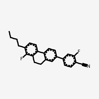 CCCCc1ccc2c(c1F)CCc1cc(-c3ccc(C#N)c(F)c3)ccc1-2